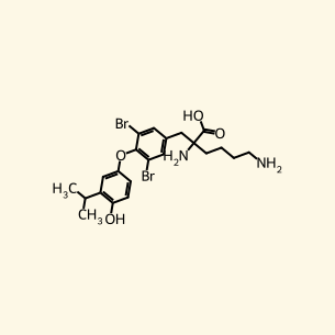 CC(C)c1cc(Oc2c(Br)cc(CC(N)(CCCCN)C(=O)O)cc2Br)ccc1O